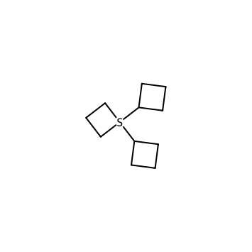 C1CC(S2(C3CCC3)CCC2)C1